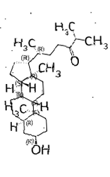 CC(C)C(=O)CC[C@@H](C)[C@H]1CC[C@H]2[C@@H]3CC[C@@H]4C[C@H](O)CC[C@]4(C)[C@H]3CC[C@]12C